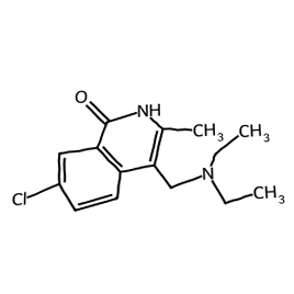 CCN(CC)Cc1c(C)[nH]c(=O)c2cc(Cl)ccc12